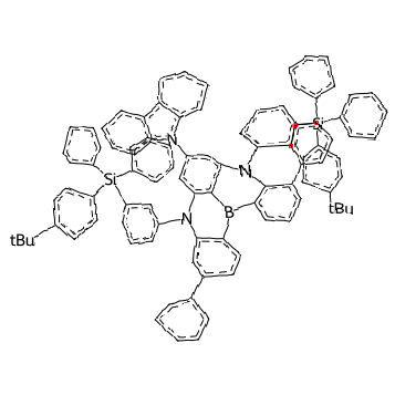 CC(C)(C)c1ccc([Si](c2ccccc2)(c2ccccc2)c2cccc(N3c4cc(-c5ccccc5)ccc4B4c5cccc(-c6ccccc6)c5N(c5cccc([Si](c6ccccc6)(c6ccccc6)c6ccc(C(C)(C)C)cc6)c5)c5cc(-n6c7ccccc7c7ccccc76)cc3c54)c2)cc1